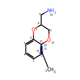 CC1=C2C=CC=C3OC(CN)COC32NC=C1